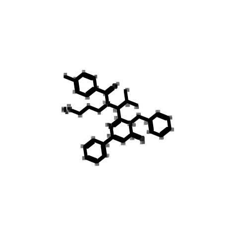 Cc1ccc(C(=O)N(CCCN)C(c2nc(-c3ccccc3)cc(=O)n2Cc2ccccc2)C(C)C)cc1